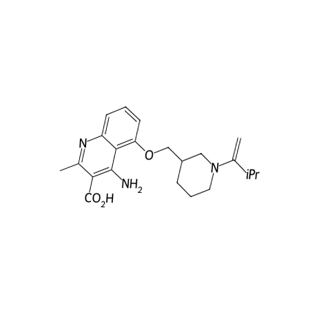 C=C(C(C)C)N1CCCC(COc2cccc3nc(C)c(C(=O)O)c(N)c23)C1